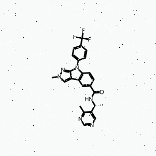 Cc1ncncc1[C@@H](C)NC(=O)c1ccc2c(c1)c1cn(C)nc1n2-c1ccc(C(F)(F)F)cc1